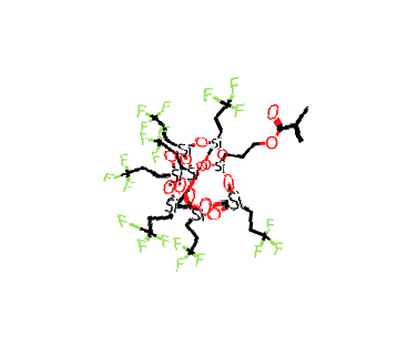 C=C(C)C(=O)OCCC[Si]12O[Si]3(CCC(F)(F)F)O[Si]4(CCC(F)(F)F)O[Si](CCC(F)(F)F)(O1)O[Si]1(CCC(F)(F)F)O[Si](CCC(F)(F)F)(O2)O[Si](CCC(F)(F)F)(O3)O[Si](CCC(F)(F)F)(O4)O1